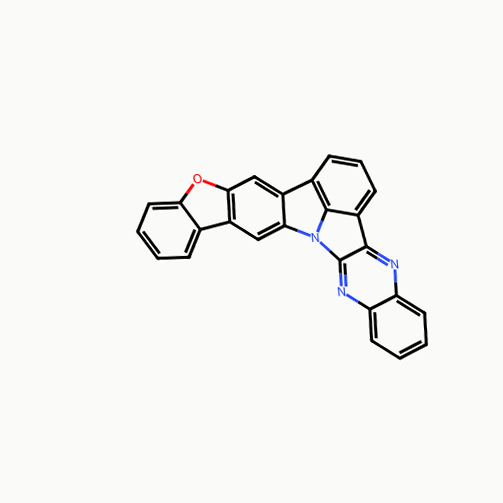 c1ccc2nc3c(nc2c1)c1cccc2c4cc5oc6ccccc6c5cc4n3c21